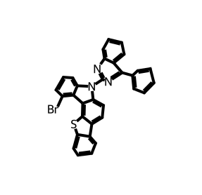 Brc1cccc2c1c1c3sc4ccccc4c3ccc1n2-c1nc(-c2ccccc2)c2ccccc2n1